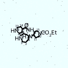 C1CCCNCCC1.CCOC(=O)N1CCC(N)CC1.NC(=O)C1CCNCC1